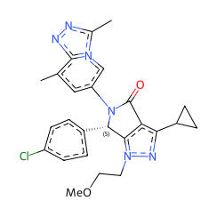 COCCn1nc(C2CC2)c2c1[C@H](c1ccc(Cl)cc1)N(c1cc(C)c3nnc(C)n3c1)C2=O